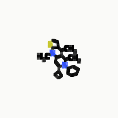 C=C1C2=C(C=C(C3CCC3)N(c3ccccc3)C2=C)N(C)c2sccc21